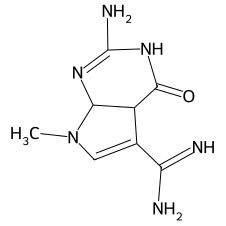 CN1C=C(C(=N)N)C2C(=O)NC(N)=NC21